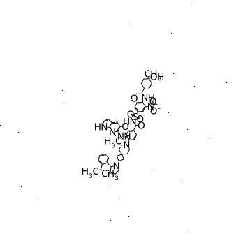 CNc1nc2[nH]ccc2cc1Oc1cc(N2CCC3(CC2)CC(N2CCC[C@H]2c2ccccc2C(C)C)C3)ccc1C(=O)NS(=O)(=O)c1cc2c(c([N+](=O)[O-])c1)N[C@@H]([C@H]1CC[C@](C)(O)CC1)CO2